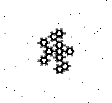 C1=CCCC(c2c3c(c(-c4cc(-c5ccccc5)cc(-c5ccccc5)c4)c4ccc(N5CCCc6ccccc65)cc24)=CC(N2CCCc4ccccc42)CC=3)=C1